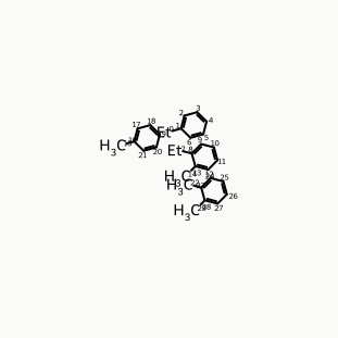 CCc1ccccc1.CCc1ccccc1C.Cc1ccccc1.Cc1ccccc1C